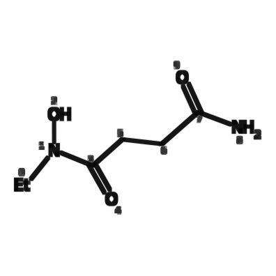 CCN(O)C(=O)CCC(N)=O